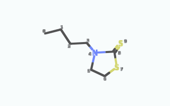 CCCCN1CCSC1=S